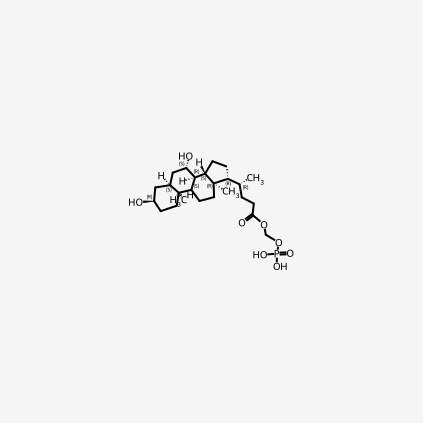 C[C@H](CCC(=O)OCOP(=O)(O)O)[C@H]1CC[C@H]2[C@@H]3[C@@H](O)C[C@@H]4C[C@H](O)CC[C@]4(C)[C@H]3CC[C@]12C